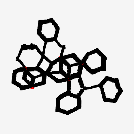 c1ccc(-c2ccc(-c3ccccc3)c3c2Sc2ccccc2C32c3ccccc3Sc3cccc(-c4cccc5c4c4ccccc4n5-c4ccccc4)c32)cc1